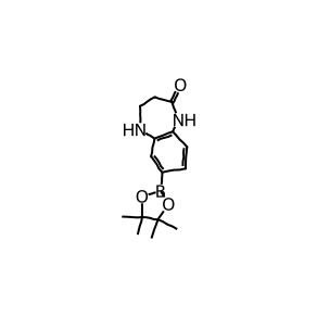 CC1(C)OB(c2ccc3c(c2)NCCC(=O)N3)OC1(C)C